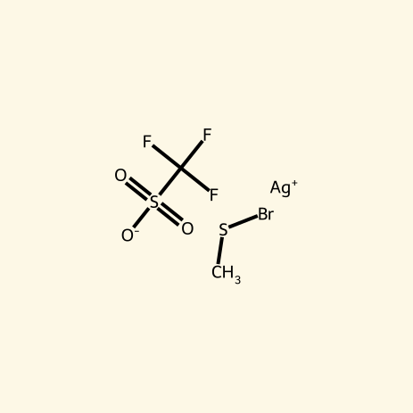 CSBr.O=S(=O)([O-])C(F)(F)F.[Ag+]